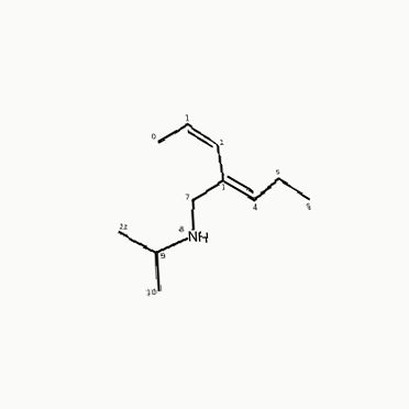 C/C=C\C(=C/CC)CNC(C)C